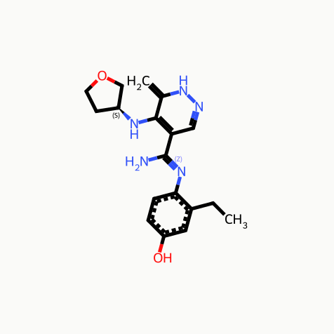 C=C1NN=CC(/C(N)=N/c2ccc(O)cc2CC)=C1N[C@H]1CCOC1